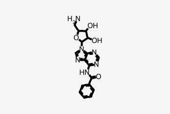 NCC1OC(n2cnc3c(NC(=O)c4ccccc4)ncnc32)C(O)C1O